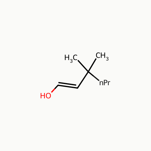 CCCC(C)(C)/C=C/O